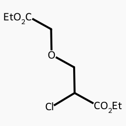 CCOC(=O)COCC(Cl)C(=O)OCC